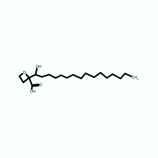 CCCCCCCCCCCCCCCC(O)C1(C(=O)O)CCO1